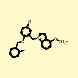 O=C(O)Oc1cccc2c1ccn2Cc1cc(Cl)ccc1OCc1ccccc1F